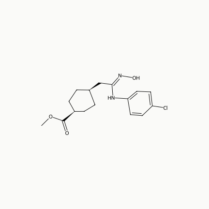 COC(=O)[C@H]1CC[C@@H](C/C(=N/O)Nc2ccc(Cl)cc2)CC1